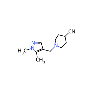 Cc1c(CN2CCC(C#N)CC2)cnn1C